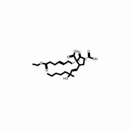 CCCCCC(C)(O)C=CC1C[C@@H](C(=O)O)C(=O)[C@]1(CCC=CCCC(=O)OCC)C(=O)O